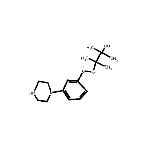 CC(C)(O)C(C)(C)OBc1cccc(N2CCNCC2)c1